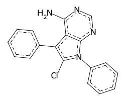 Nc1ncnc2c1c(-c1ccccc1)c(Cl)n2-c1ccccc1